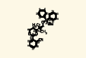 CC(C)(CO[Si](c1ccccc1)(c1ccccc1)C(C)(C)C)[C@@H]1CCO[C@H](c2ccccc2C#N)O1